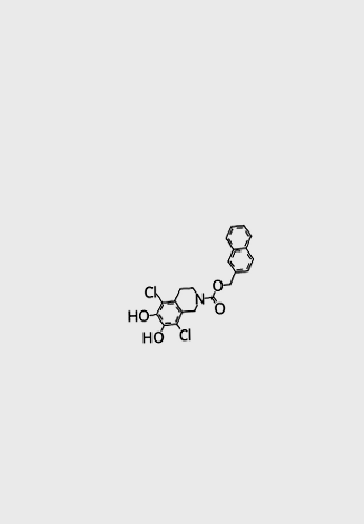 O=C(OCc1ccc2ccccc2c1)N1CCc2c(Cl)c(O)c(O)c(Cl)c2C1